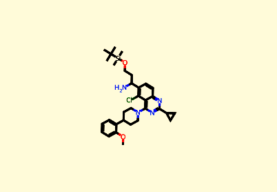 COc1ccccc1C1CCN(c2nc(C3CC3)nc3ccc(C(N)CCO[Si](C)(C)C(C)(C)C)c(Cl)c23)CC1